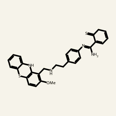 COc1ccc2c(c1CNCCc1ccc(N=C(N)C3=CC=CCC3=S)cc1)Nc1ccccc1S2